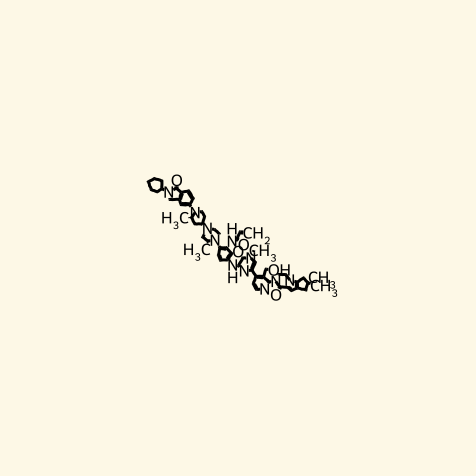 C=CC(=O)Nc1cc(Nc2nc(-c3ccnc(N4CCn5c(cc6c5CC(C)(C)C6)C4=O)c3CO)cn(C)c2=O)ccc1N1CCN(C2CCN(c3ccc4c(c3)CN(C3CCCCC3)C4=O)[C@@H](C)C2)C[C@@H]1C